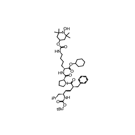 CC(C)C[C@@H](/C=C/[C@H](Cc1ccccc1)C(=O)N1CCC[C@H]1C(=O)N[C@@H](CCCCNC(=O)OC1CC(C)(C)N(O)C(C)(C)C1)C(=O)OC1CCCCC1)NC(=O)OC(C)(C)C